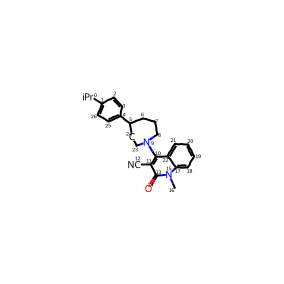 CC(C)c1ccc(C2CCCN(c3c(C#N)c(=O)n(C)c4ccccc34)CC2)cc1